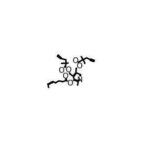 C#CCC(C)(C)C(=O)OCc1cnc(C)c(OC(=O)CCC/C=C\C)c1COC(=O)C(C)(C)CC#C